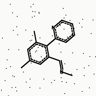 CN=Cc1cc(C)cc(C)c1-c1ccccn1